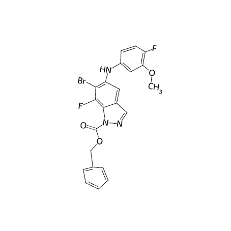 COc1cc(Nc2cc3cnn(C(=O)OCc4ccccc4)c3c(F)c2Br)ccc1F